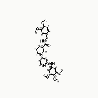 COc1ccc(CNC(=O)C2CCCN(c3ccnc(Nc4cc(OC)c(OC)c(OC)c4)n3)C2)cc1OC